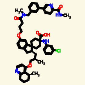 CNC(=O)c1ccc(-c2cccc(CN(C)C(=O)CCCOc3ccc4c(c3)C3(CCC(Nc5cccc(Cl)c5)(C(=O)O)CC3)[C@@H](C[C@@H](C)COc3ccnc5c3[C@H](C)CCC5)C4)c2)cn1